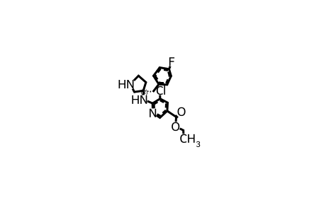 CCOC(=O)c1cnc(N[C@]2(Cc3ccc(F)cc3)CCNC2)c(Cl)c1